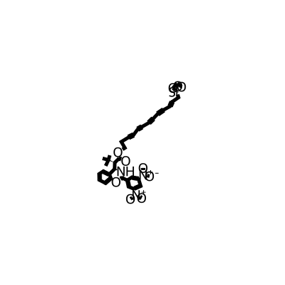 CC(C)(C)[C@H](C(=O)OCCC#CC#CC#CC#CC#CC[Si]12OC(O1)O2)[C@H](NC(=O)c1cc([N+](=O)[O-])cc([N+](=O)[O-])c1)c1ccccc1